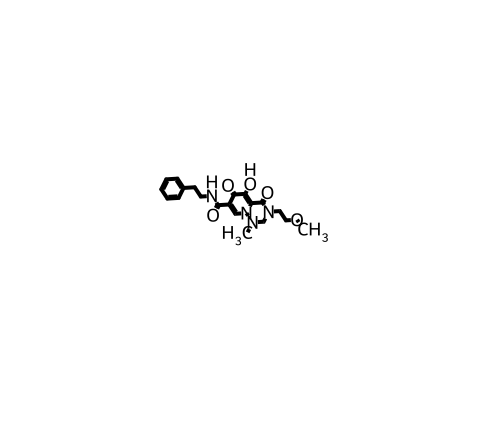 COCCN1CN(C)n2cc(C(=O)NCCc3ccccc3)c(=O)c(O)c2C1=O